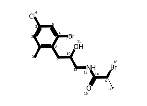 Cc1cc(Cl)cc(Br)c1CC(O)CNC(=O)[C@@H](C)Br